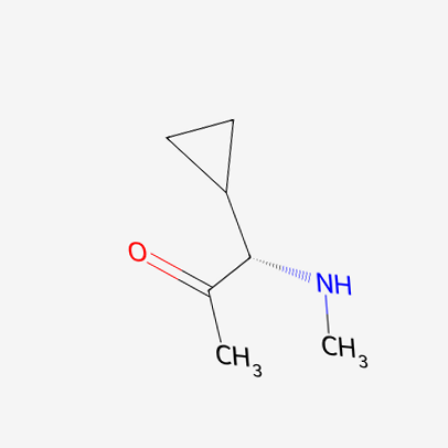 CN[C@H](C(C)=O)C1CC1